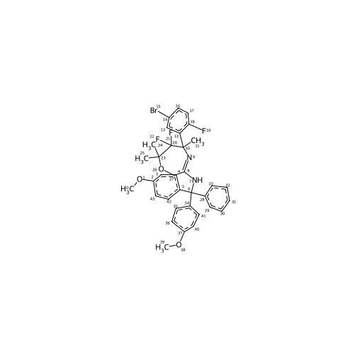 COc1ccc(C(NC2=NC(C)(c3cc(Br)ccc3F)C(F)(F)C(C)(C)OC2)(c2ccccc2)c2ccc(OC)cc2)cc1